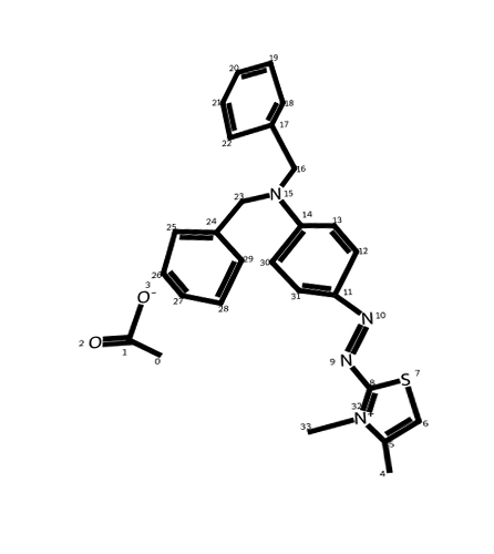 CC(=O)[O-].Cc1csc(/N=N/c2ccc(N(Cc3ccccc3)Cc3ccccc3)cc2)[n+]1C